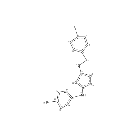 Fc1ccc(CSc2nnc(Nc3ccc(F)cc3)o2)cc1